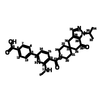 CNc1nc(-c2ccc(C(=O)O)cc2)ccc1C(=O)N1CCC2(CC1)CC(=O)c1c(cnn1C(C)C)C2